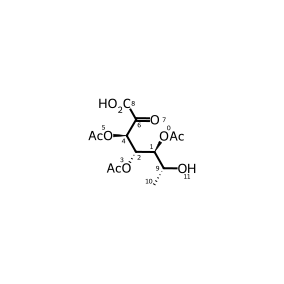 CC(=O)O[C@H]([C@H](OC(C)=O)[C@@H](OC(C)=O)C(=O)C(=O)O)[C@@H](C)O